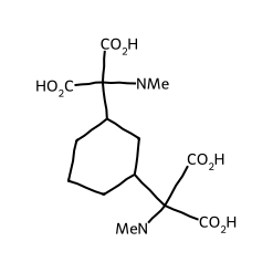 CNC(C(=O)O)(C(=O)O)C1CCCC(C(NC)(C(=O)O)C(=O)O)C1